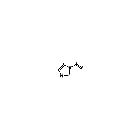 C=CN1C=CNC1